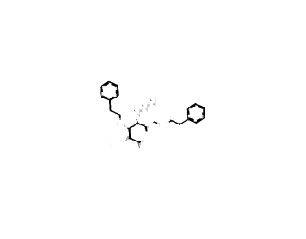 CC(=O)O[C@@H]1[C@@H](OCCc2ccccc2)[C@@H](N=[N+]=[N-])[C@@H](COCCc2ccccc2)O[C@H]1O